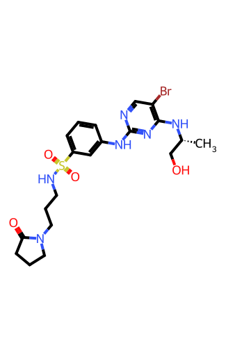 C[C@H](CO)Nc1nc(Nc2cccc(S(=O)(=O)NCCCN3CCCC3=O)c2)ncc1Br